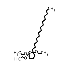 CCCCCCCCCCCCCCCCC1(OCC)CCC[Si](OCC)(OCC)O1